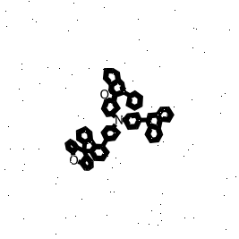 c1ccc(-c2cc3ccccc3c3oc4ccc(N(c5ccc(-c6cccc7c6-c6ccccc6C76c7ccccc7Oc7ccccc76)cc5)c5ccc(-c6cc7ccccc7c7ccccc67)cc5)cc4c23)cc1